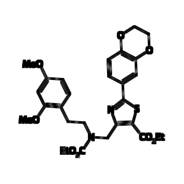 CCOC(=O)c1sc(-c2ccc3c(c2)OCCO3)nc1CN(CCc1ccc(OC)cc1OC)C(=O)OCC